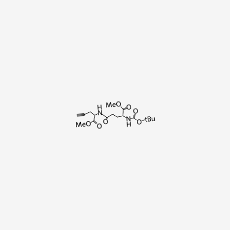 C#CCC(NC(=O)CCC(NC(=O)OC(C)(C)C)C(=O)OC)C(=O)OC